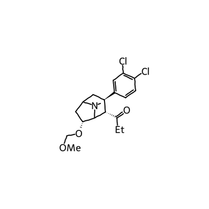 CCC(=O)[C@@H]1C2[C@H](OCOC)CC(C[C@H]1c1ccc(Cl)c(Cl)c1)N2C